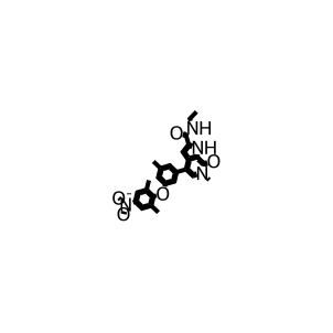 CCNC(=O)c1cc2c(-c3cc(C)cc(Oc4c(C)cc([N+](=O)[O-])cc4C)c3)cn(C)c(=O)c2[nH]1